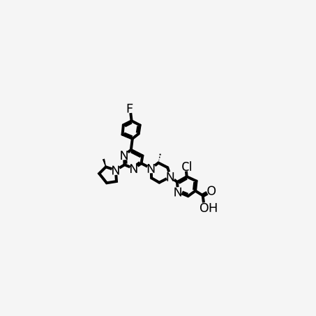 C[C@@H]1CN(c2ncc(C(=O)O)cc2Cl)CCN1c1cc(-c2ccc(F)cc2)nc(N2CCC[C@H]2C)n1